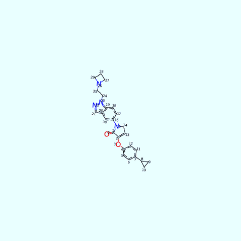 O=C1C(Oc2ccc(C3CC3)cc2)=CCN1c1ccc2c(cnn2CCN2CCC2)c1